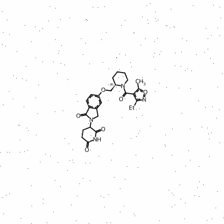 CCc1noc(C)c1C(=O)N1CCCC[C@@H]1COc1ccc2c(c1)CN(C1CCC(=O)NC1=O)C2=O